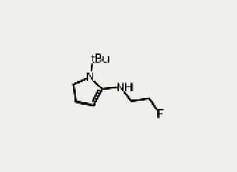 CC(C)(C)N1CCC=C1NCCF